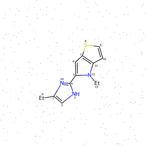 CCc1c[nH]c(-c2cc3sccc3n2CC)n1